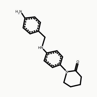 Nc1ccc(CNc2ccc(N3CCCCC3=O)cc2)cc1